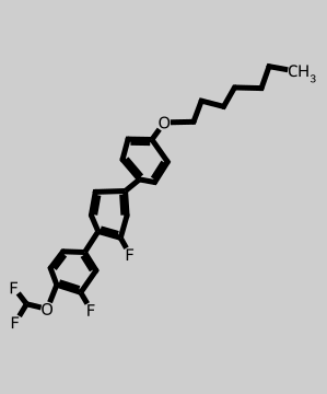 CCCCCCCOc1ccc(-c2ccc(-c3ccc(OC(F)F)c(F)c3)c(F)c2)cc1